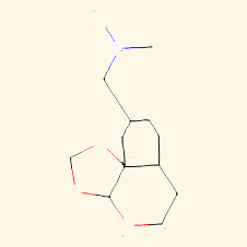 CN(CC1CCC2CCOC3OCOC23C1)C(=O)O